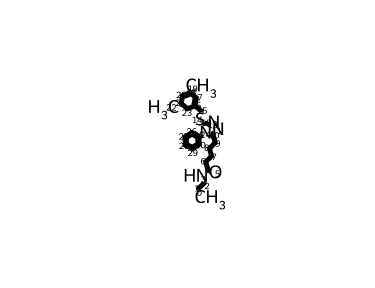 CCCNC(=O)CCCCc1nnc(SCC2=CC(C)=CC(C)C2)n1-c1ccccc1